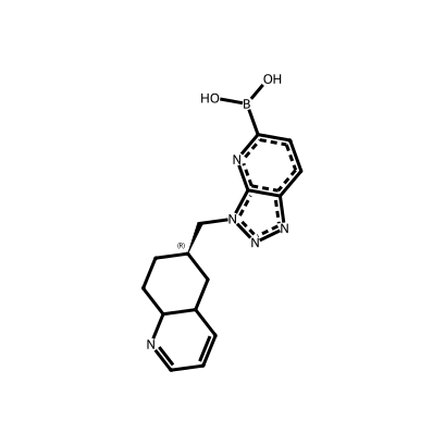 OB(O)c1ccc2nnn(C[C@@H]3CCC4N=CC=CC4C3)c2n1